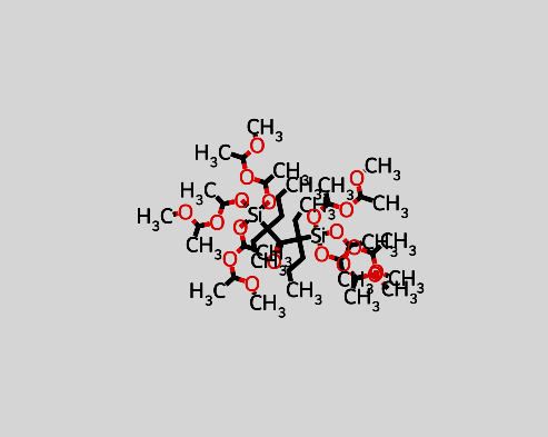 CCCC(CC)(C(=O)C(CC)(CCC)[Si](OC(C)OC(C)OC)(OC(C)OC(C)OC)OC(C)OC(C)OC)[Si](OC(C)OC(C)OC)(OC(C)OC(C)OC)OC(C)OC(C)OC